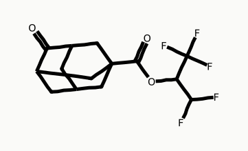 O=C1C2CC3CC1CC(C(=O)OC(C(F)F)C(F)(F)F)(C3)C2